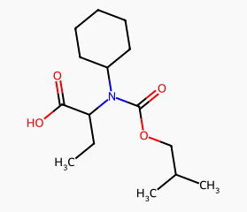 CCC(C(=O)O)N(C(=O)OCC(C)C)C1CCCCC1